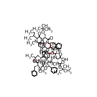 CC[C@H](C)[C@@H](C(=O)N[C@@H](COC(C)(C)C)C(=O)N(C)[C@@H](Cc1ccccc1)C(=O)N(C)[C@H](C(=O)N[C@@H](CC(=O)OC(C)(C)C)C(=O)O)C(C)C)N(C)C(=O)CN(C)C(=O)[C@@H](NC(=O)[C@H](CC(C)C)N(C)C(=O)[C@H](CC(C)C)NC(=O)[C@H](Cc1ccccc1)N(C)C(=O)OCc1ccccc1)C(C)C